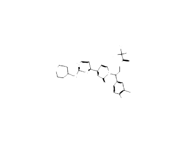 CC(C)(N)C(=O)OCC(c1ccc(Cl)c(F)c1)n1ccc(-c2ccnc(NC3CCOCC3)n2)cc1=O